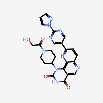 O=C(CO)N1CCC(n2c(=O)[nH]c(=O)c3cnc4ccc(-c5cnc(-n6cccn6)nc5)nc4c32)CC1